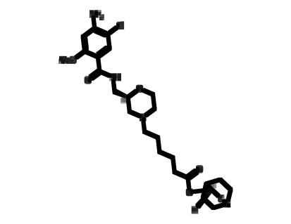 COc1cc(N)c(Cl)cc1C(=O)NC[C@@H]1CN(CCCCCC(=O)O[C@H]2CN3CCC2CC3)CCO1